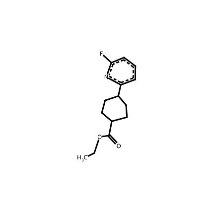 CCOC(=O)C1CCC(c2cccc(F)n2)CC1